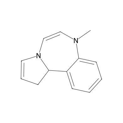 CN1C=CN2C=CCC2c2ccccc21